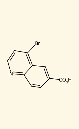 O=C(O)c1ccc2nccc(Br)c2c1